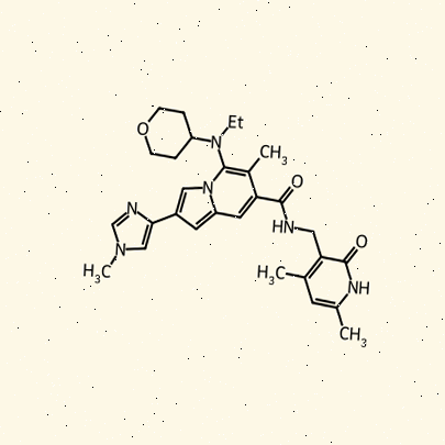 CCN(c1c(C)c(C(=O)NCc2c(C)cc(C)[nH]c2=O)cc2cc(-c3cn(C)cn3)cn12)C1CCOCC1